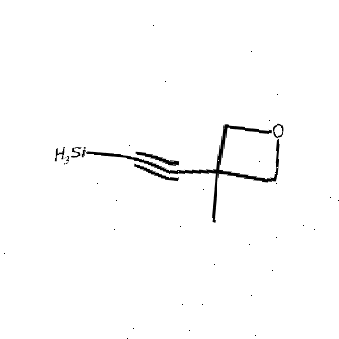 CC1(C#C[SiH3])COC1